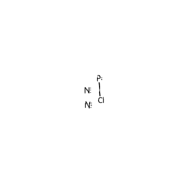 [N].[N].[P]Cl